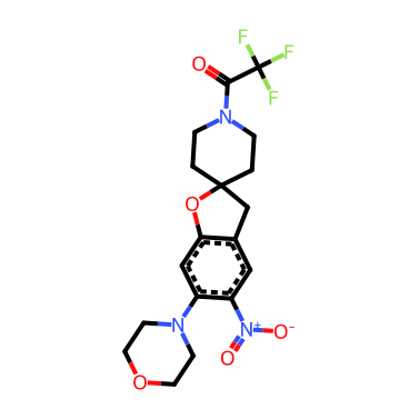 O=C(N1CCC2(CC1)Cc1cc([N+](=O)[O-])c(N3CCOCC3)cc1O2)C(F)(F)F